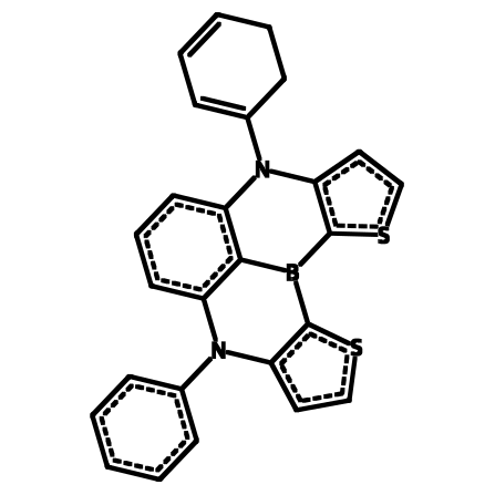 C1=CCCC(N2c3ccsc3B3c4sccc4N(c4ccccc4)c4cccc2c43)=C1